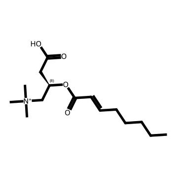 CCCCCC=CC(=O)O[C@H](CC(=O)O)C[N+](C)(C)C